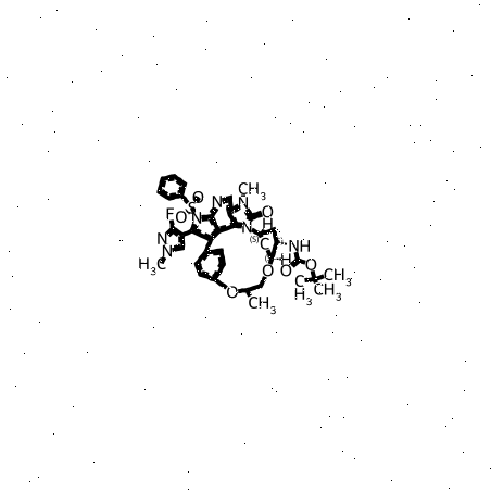 CC1CO[C@H]2C[C@H](C[C@@H]2NC(=O)OC(C)(C)C)n2c(=O)n(C)c3cnc4c(c(c(-c5cn(C)nc5F)n4S(=O)(=O)c4ccccc4)-c4ccc(cc4)O1)c32